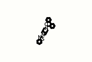 O=C(c1ccccc1-c1ccccc1)N1CC2CC(C1)CN(c1nc3ccccc3s1)C2